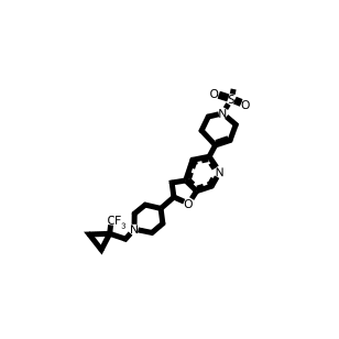 CS(=O)(=O)N1CC=C(c2cc3c(cn2)OC(C2CCN(CC4(C(F)(F)F)CC4)CC2)C3)CC1